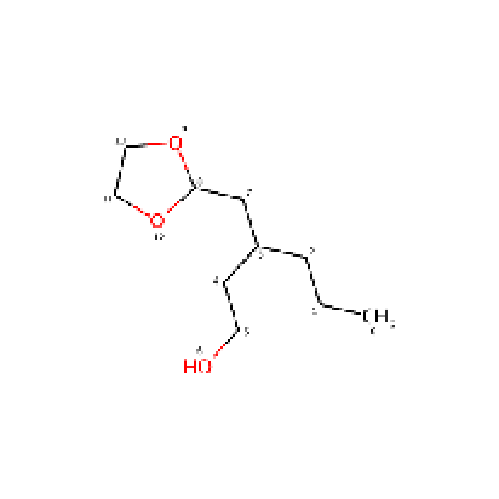 CCCC(CCO)CC1OCCO1